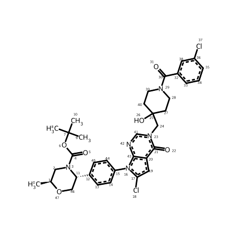 C[C@H]1CN(C(=O)OC(C)(C)C)[C@H](c2ccc(-n3c(Cl)cc4c(=O)n(CC5(O)CCN(C(=O)c6cccc(Cl)c6)CC5)cnc43)cc2)CO1